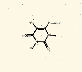 CCCCc1c(OCCC)n(C)c(=O)n(C)c1=O